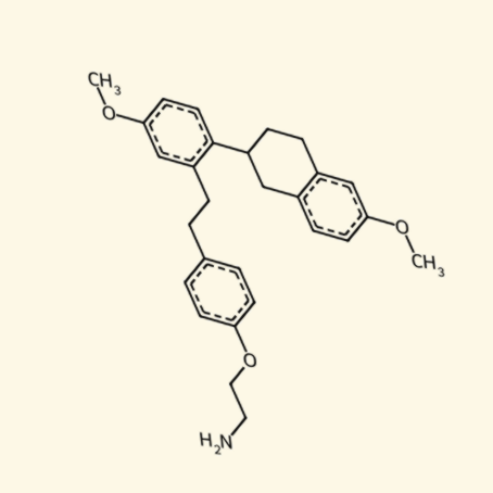 COc1ccc2c(c1)CCC(c1ccc(OC)cc1CCc1ccc(OCCN)cc1)C2